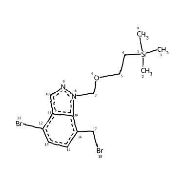 C[Si](C)(C)CCOCn1ncc2c(Br)ccc(CBr)c21